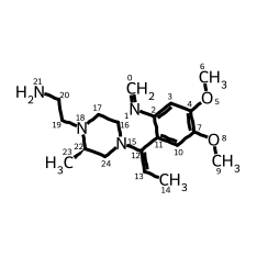 C=Nc1cc(OC)c(OC)cc1/C(=C\C)N1CCN(CCN)[C@H](C)C1